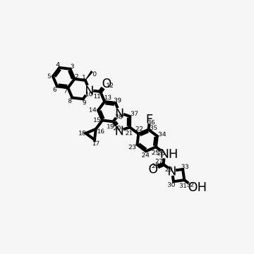 C[C@@H]1c2ccccc2CCN1C(=O)c1cc(C2CC2)c2nc(-c3ccc(NC(=O)N4CC(O)C4)cc3F)cn2c1